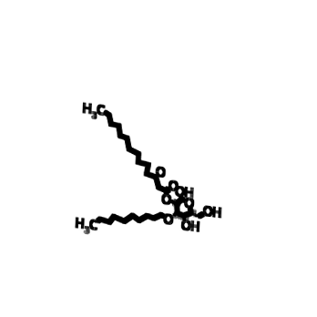 CCCCCCCCCCCC(=O)CC(=O)O[C@H]1C(O)O[C@H](CO)[C@@H](O)[C@@H]1OCCCCCCCCCC